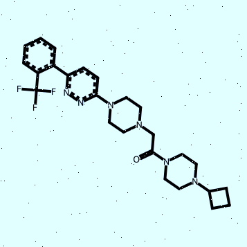 O=C(CN1CCN(c2ccc(-c3ccccc3C(F)(F)F)nn2)CC1)N1CCN(C2CCC2)CC1